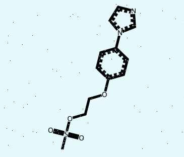 CS(=O)(=O)OCCOc1ccc(-n2ccnc2)cc1